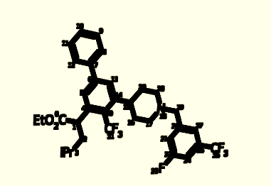 CCOC(=O)C(CC(C)C)c1cc(-c2ccccc2)cc(C2CCN(Cc3cc(F)cc(C(F)(F)F)c3)CC2)c1C(F)(F)F